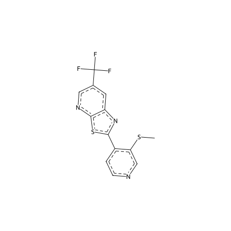 CSc1cnccc1-c1nc2cc(C(F)(F)F)cnc2s1